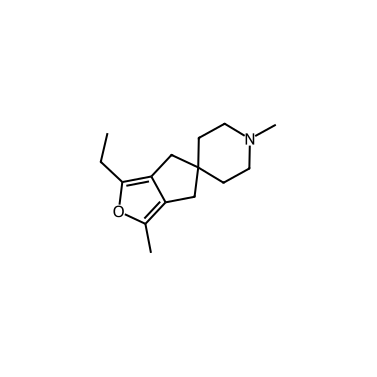 CCc1oc(C)c2c1CC1(CCN(C)CC1)C2